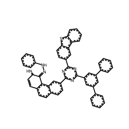 N=C1C=Cc2ccc3ccc(-c4nc(-c5cc(-c6ccccc6)cc(-c6ccccc6)c5)nc(-c5ccc6sc7ccccc7c6c5)n4)cc3c2/C1=N/Nc1ccccc1